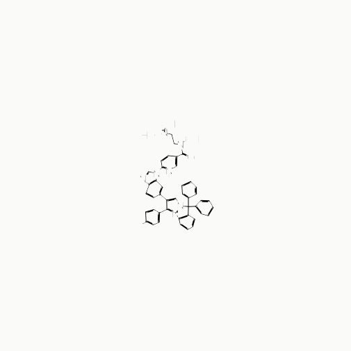 CN(C)CCN(C)C(=O)c1ccc(-n2cnc3ccc(-c4cn(C(c5ccccc5)(c5ccccc5)c5ccccc5)nc4-c4ccc(F)cc4)cc32)nc1